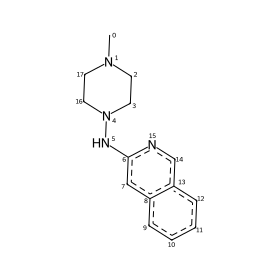 CN1CCN(Nc2cc3ccccc3cn2)CC1